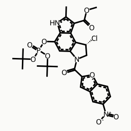 COC(=O)c1c(C)[nH]c2c(OP(=O)(OC(C)(C)C)OC(C)(C)C)cc3c(c12)[C@H](Cl)CN3C(=O)c1cc2cc([N+](=O)[O-])ccc2o1